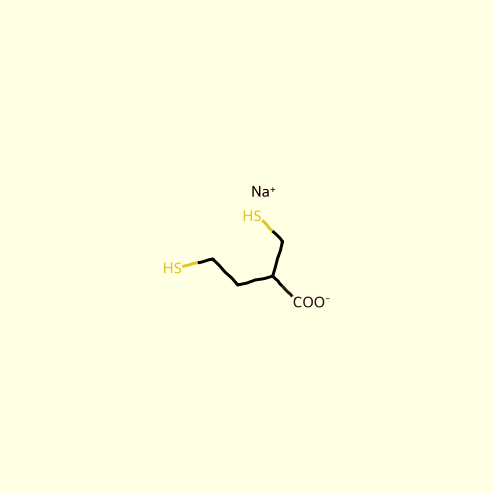 O=C([O-])C(CS)CCS.[Na+]